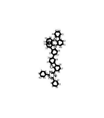 c1ccc(-c2nc(-c3ccccc3)nc(-c3cccc4c3oc3ccc(-c5ccc6c(c5)c5ccccc5n6-c5cccc6c7ccccc7n(-c7ccccc7)c56)cc34)n2)cc1